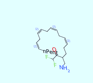 CCCCC/C=C\C/C=C\C/C=C\C/C=C\CCC(CN)C(=O)C(F)F